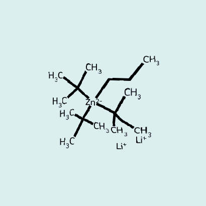 CC[CH2][Zn-2]([C](C)(C)C)([C](C)(C)C)[C](C)(C)C.[Li+].[Li+]